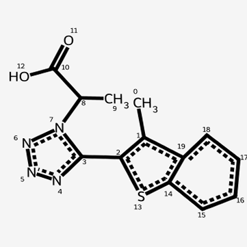 Cc1c(-c2nnnn2C(C)C(=O)O)sc2ccccc12